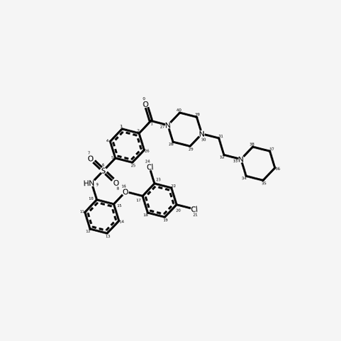 O=C(c1ccc(S(=O)(=O)Nc2ccccc2Oc2ccc(Cl)cc2Cl)cc1)N1CCN(CCN2CCCCC2)CC1